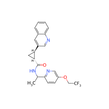 CC(NC(=O)[C@@H]1C[C@H]1c1cnc2ccccc2c1)c1ccc(OCC(F)(F)F)cn1